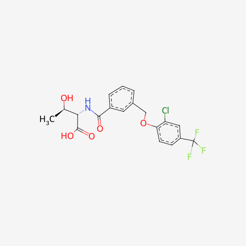 C[C@@H](O)[C@H](NC(=O)c1cccc(COc2ccc(C(F)(F)F)cc2Cl)c1)C(=O)O